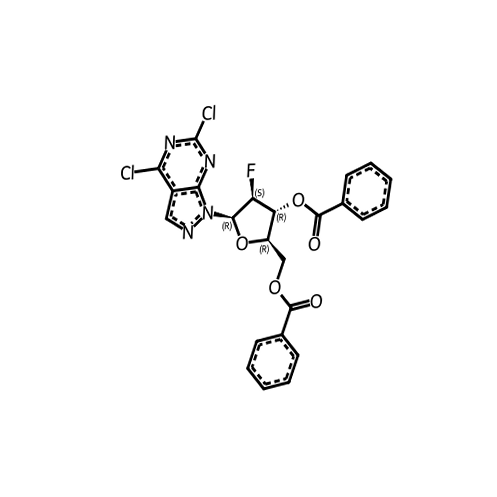 O=C(OC[C@H]1O[C@@H](n2ncc3c(Cl)nc(Cl)nc32)[C@@H](F)[C@@H]1OC(=O)c1ccccc1)c1ccccc1